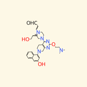 CN(C)CCOc1nc2c(c(N3CCN(C=CC=O)[C@H](CCO)C3)n1)CCN(c1cc(O)cc3ccccc13)C2